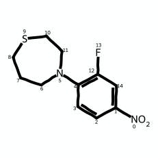 O=[N+]([O-])c1ccc(N2CCCSCC2)c(F)c1